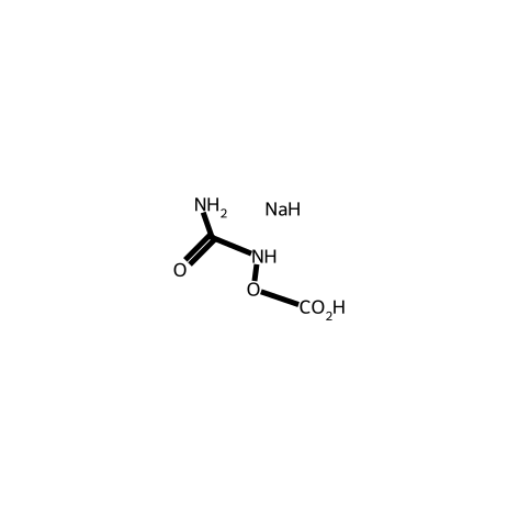 NC(=O)NOC(=O)O.[NaH]